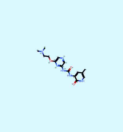 Cc1c[nH]c(=O)c(NC(=O)Nc2cncc(OCCN(C)C)n2)c1